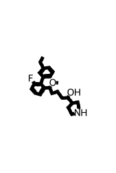 CCc1cccc(-c2c(F)cccc2C(CCCC(O)C2CCNCC2)OC)c1